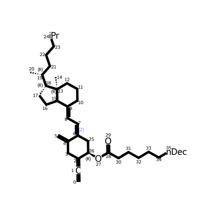 C=C=C1CC(=C)/C(=C\C=C2CCC[C@@]3(C)C2CC[C@@H]3[C@H](C)CCCC(C)C)C[C@H]1OC(=O)CCCCCCCCCCCCCCC